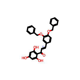 O=C(/C=C/c1ccc(OCc2ccccc2)c(OCc2ccccc2)c1)c1c(O)cc(O)cc1O